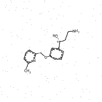 Cc1cccc(COc2cccc([C@H](O)CCN)c2)n1